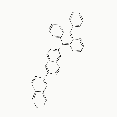 c1ccc(-c2c3ccccc3c(-c3ccc4cc(-c5ccc6ccccc6c5)ccc4c3)c3cccnc23)cc1